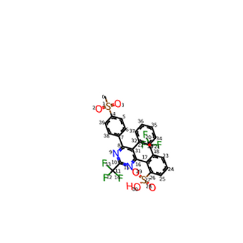 CS(=O)(=O)c1ccc(-c2nc(C(F)(F)F)nc(-c3c(C(F)(F)F)cccc3S(=O)(=O)O)c2-c2ccccc2)cc1